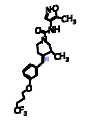 Cc1oncc1NC(=O)N1CC/C(=C\c2cccc(OCCCC(F)(F)F)c2)C(C)C1